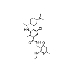 CCNC1=C(CNC(=O)c2cc(Cl)cc(NC(C)[C@H]3CC[C@H](N(C)C)CC3)c2C)C(=O)CC(C)=N1